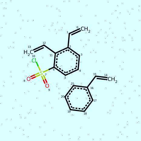 C=Cc1cccc(S(=O)(=O)Cl)c1C=C.C=Cc1ccccc1